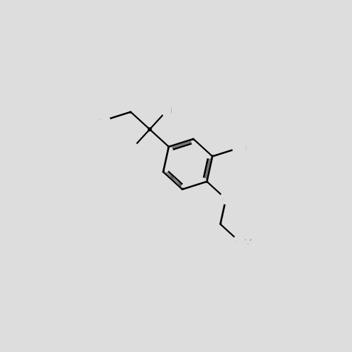 COCOc1ccc(C(C)(C)CC(C)(C)C)cc1C